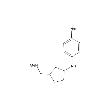 CNCC1CCC(Nc2ccc(C(C)(C)C)cc2)C1